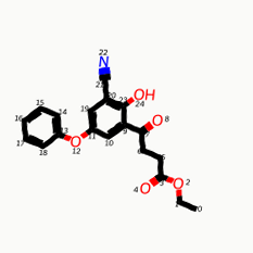 CCOC(=O)CCC(=O)c1cc(Oc2ccccc2)cc(C#N)c1O